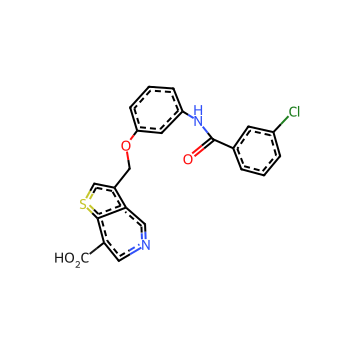 O=C(Nc1cccc(OCc2csc3c(C(=O)O)cncc23)c1)c1cccc(Cl)c1